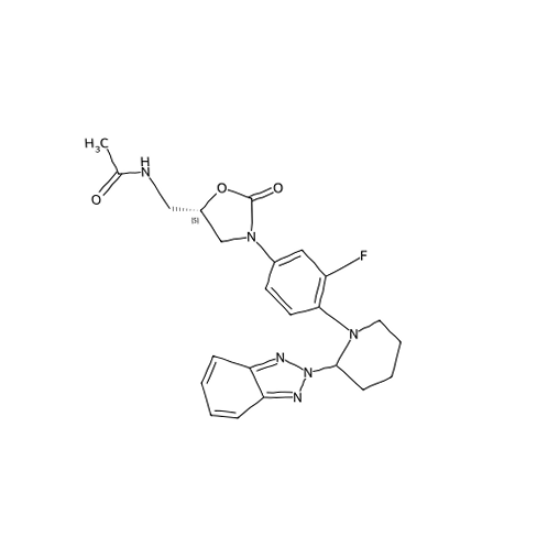 CC(=O)NC[C@H]1CN(c2ccc(N3CCCCC3n3nc4ccccc4n3)c(F)c2)C(=O)O1